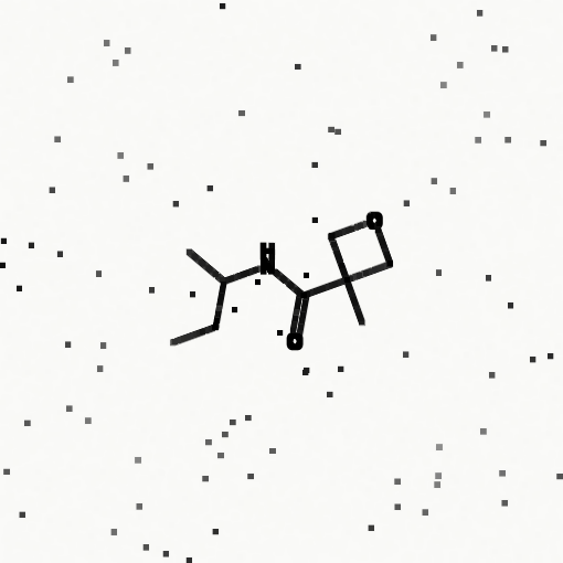 CCC(C)NC(=O)C1(C)COC1